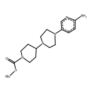 CC(C)(C)OC(=O)N1CCC(N2CCN(c3ccc(N)nc3)CC2)CC1